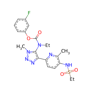 CCN(C(=O)Oc1cccc(F)c1)c1c(-c2ccc(NS(=O)(=O)CC)c(C)n2)nnn1C